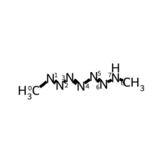 CN=NN=NN=NNC